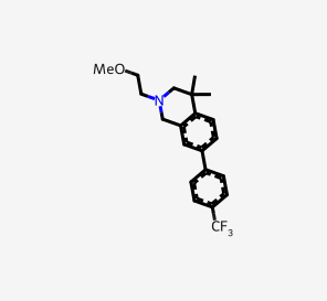 COCCN1Cc2cc(-c3ccc(C(F)(F)F)cc3)ccc2C(C)(C)C1